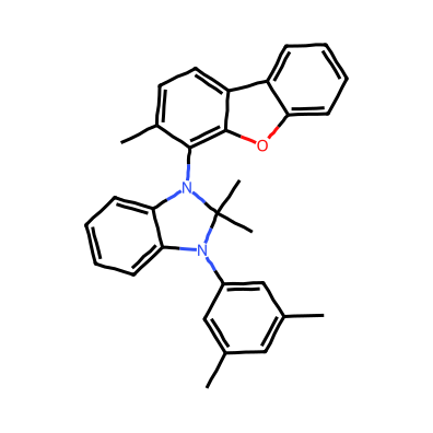 Cc1cc(C)cc(N2c3ccccc3N(c3c(C)ccc4c3oc3ccccc34)C2(C)C)c1